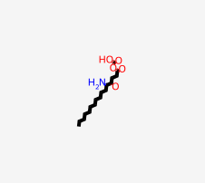 CCCCCCCCCCCC(N)C(=O)CCC(=O)OC(=O)O